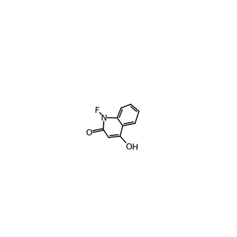 O=c1cc(O)c2ccccc2n1F